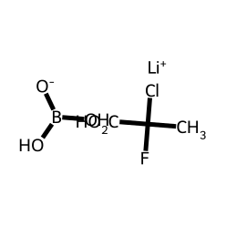 CC(F)(Cl)C(=O)O.[Li+].[O-]B(O)O